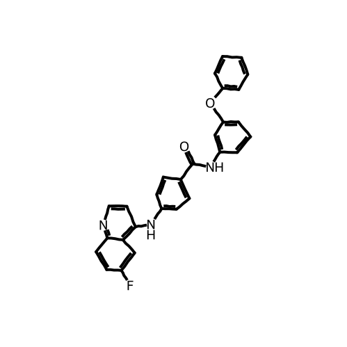 O=C(Nc1cccc(Oc2ccccc2)c1)c1ccc(Nc2ccnc3ccc(F)cc23)cc1